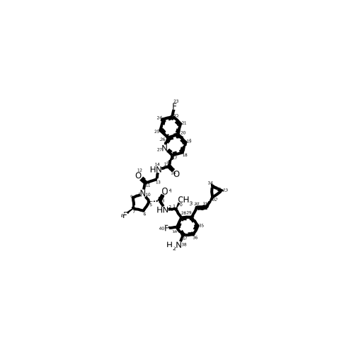 C[C@H](NC(=O)[C@@H]1C[C@@H](F)CN1C(=O)CNC(=O)c1ccc2cc(F)ccc2n1)c1c(/C=C/C2CC2)ccc(N)c1F